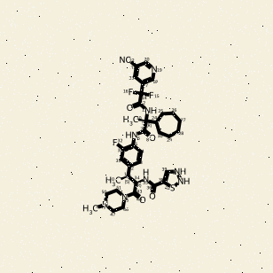 C[C@@H](c1ccc(NC(=O)[C@](C)(NC(=O)C(F)(F)c2cncc(C#N)c2)C2CCCCCC2)c(F)c1)[C@@H](NC(=O)C1=CNNS1)C(=O)N1CCN(C)CC1